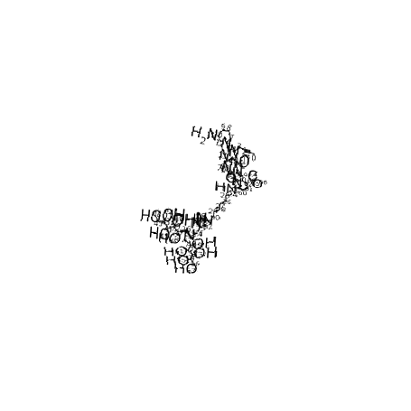 CC#CCn1c(N2CCC[C@@H](N)C2)nc2c1c(=O)n(Cc1nc(NCCCCCCCn3cc(CN(CC(O)C(O)C(O)C(O)CO)CC(O)C(O)C(O)C(O)CO)nn3)ccc1C(=O)OC)c(=O)n2C